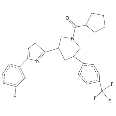 O=C(C1CCCC1)N1CC(C2=NC(c3cccc(F)c3)=CC2)CC(c2ccc(C(F)(F)F)cc2)C1